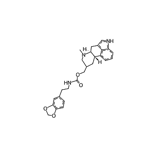 CN1CC(COC(=O)NCCc2ccc3c(c2)OCO3)C[C@H]2c3cccc4[nH]cc(c34)C[C@@H]21